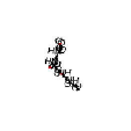 C=C(C)C(=O)OCCOC(=O)NCCCCCNC(=O)OCCC1CCCCN1C(=O)NCCCCCNC(=O)OCCOC(=O)C(=C)C